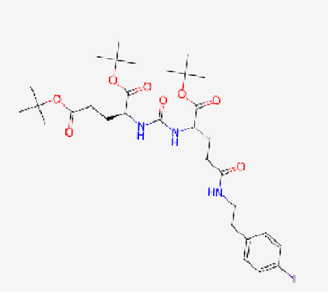 CC(C)(C)OC(=O)CC[C@H](NC(=O)N[C@@H](CCC(=O)NCCc1ccc(I)cc1)C(=O)OC(C)(C)C)C(=O)OC(C)(C)C